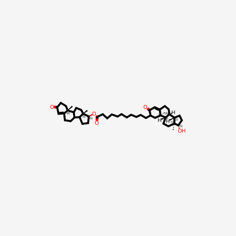 C[C@]12CC[C@H]3[C@@H](CCC4=CC(=O)C(CCCCCCCCCCC(=O)O[C@H]5CCC6C7CCC8=CC(=O)CC[C@]8(C)C7CC[C@@]65C)C[C@@]43C)[C@@H]1CC[C@@H]2O